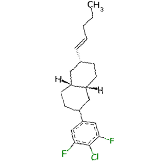 CCCC=C[C@@H]1CC[C@@H]2CC(c3cc(F)c(Cl)c(F)c3)CC[C@@H]2C1